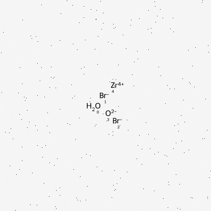 O.[Br-].[Br-].[O-2].[Zr+4]